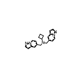 c1cc2cc(CN(Cc3ccn4nccc4c3)C3CCC3)ccn2n1